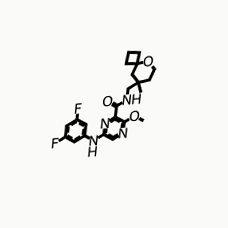 COc1ncc(Nc2cc(F)cc(F)c2)nc1C(=O)NCC1(C)CCOC2(CCC2)C1